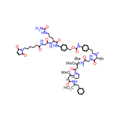 CC[C@H](C)[C@@H]([C@@H](CC(=O)N1CCC[C@H]1[C@H](OC)[C@@H](C)C(=O)N[C@@H](Cc1ccccc1)C(=O)O)OC)N(C)C(=O)CNC(=O)C(C(C)C)N(C)CCc1ccc(N(C)C(=O)OCc2ccc(NC(=O)[C@H](CCCNC(N)=O)NC(=O)CNC(=O)CCCCCN3C(=O)C=CC3=O)cc2)cc1